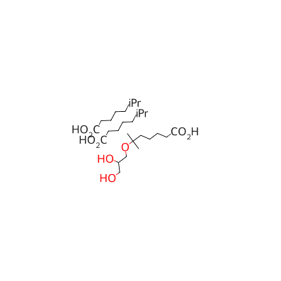 CC(C)(CCCCC(=O)O)OCC(O)CO.CC(C)CCCCC(=O)O.CC(C)CCCCC(=O)O